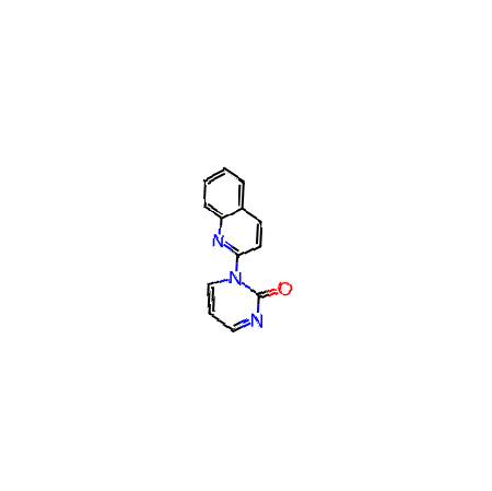 O=c1ncccn1-c1ccc2ccccc2n1